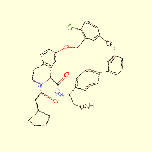 O=C(O)CC(NC(=O)C1c2cc(OCc3cc(C(F)(F)F)ccc3Cl)ccc2CCN1C(=O)CC1CCCC1)c1ccc(-c2ccccc2)cc1